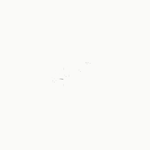 COc1ccccc1-c1ccc(C(=O)N[C@@H]2C3CCN(CC3)[C@H]2C)n1C